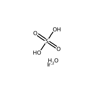 O.O=S(=O)(O)O.[Ir]